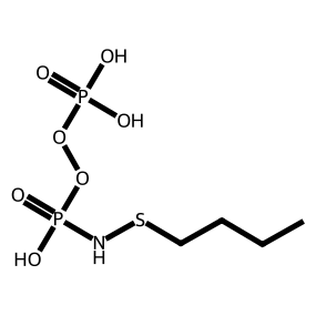 CCCCSNP(=O)(O)OOP(=O)(O)O